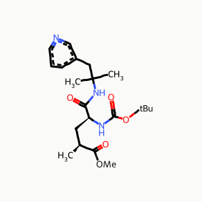 COC(=O)[C@@H](C)C[C@H](NC(=O)OC(C)(C)C)C(=O)NC(C)(C)Cc1cccnc1